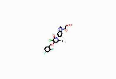 Cc1cc(OCc2ccc(F)cc2F)c(Cl)c(=O)n1-c1ccc2c(c1)ncn2C(=O)CO